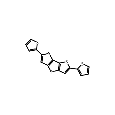 c1csc(-c2cc3sc4cc(-c5cccs5)sc4c3s2)c1